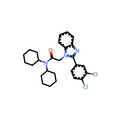 O=C(Cn1c(-c2ccc(Cl)c(Cl)c2)nc2ccccc21)N(C1CCCCC1)C1CCCCC1